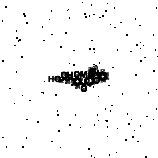 COc1cc(C(=O)N2CCC3(CC2)Oc2ccccc2-n2cccc23)ccc1CC[C@H](O)CO